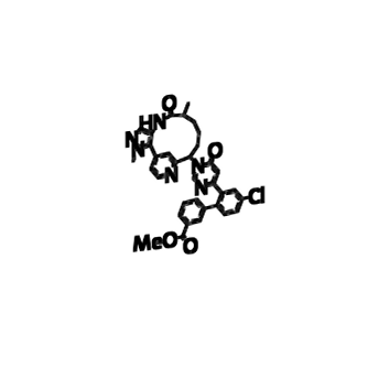 COC(=O)c1cccc(-c2ccc(Cl)cc2-c2cc(=O)n(C3CCCC(C)C(=O)Nc4cnn(C)c4-c4ccnc3c4)cn2)c1